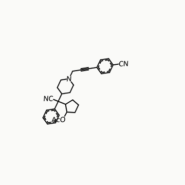 CC(=O)OC1CCCC1C(C#N)(c1ccccc1)C1CCN(CC#Cc2ccc(C#N)cc2)CC1